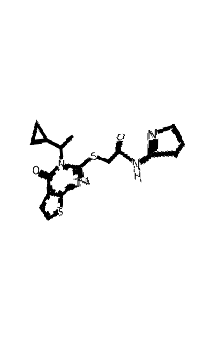 CC(C1CC1)n1c(SCC(=O)NC2=NC=CC2)nc2sccc2c1=O